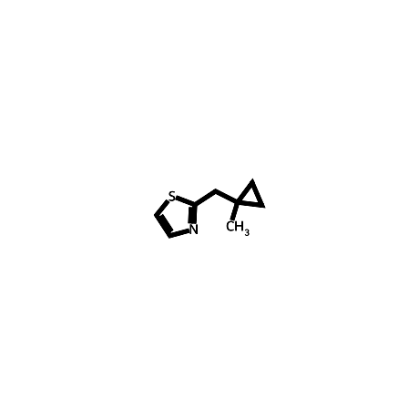 CC1(Cc2nccs2)CC1